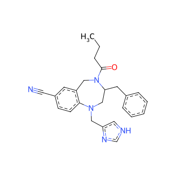 CCCC(=O)N1Cc2cc(C#N)ccc2N(Cc2c[nH]cn2)CC1Cc1ccccc1